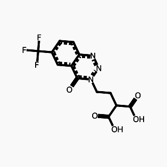 O=C(O)C(CCn1nnc2ccc(C(F)(F)F)cc2c1=O)C(=O)O